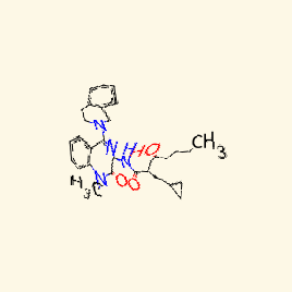 CCCC[C@H](O)[C@@H](CC1CC1)C(=O)N[C@@H]1N=C(N2CCc3ccccc3C2)c2ccccc2N(C)C1=O